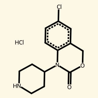 Cl.O=C1OCc2cc(Cl)ccc2N1C1CCNCC1